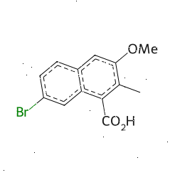 COc1cc2ccc(Br)cc2c(C(=O)O)c1C